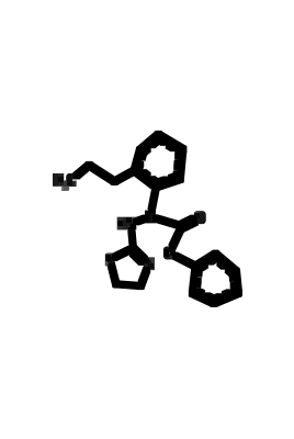 CCCc1ccccc1N(NC1=NCCS1)C(=O)Oc1ccccc1